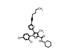 CCCCC#Cc1ccc(-c2c(C)c(C(=O)NN3CCCCC3)nn2-c2ccc(Cl)cc2Cl)s1